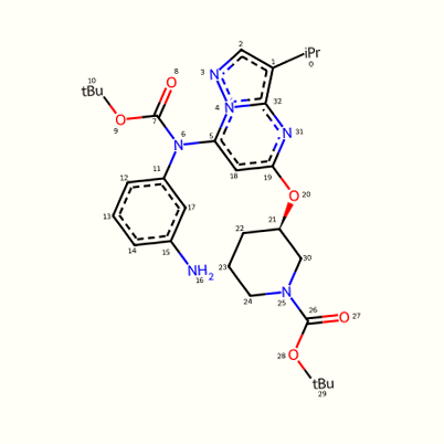 CC(C)c1cnn2c(N(C(=O)OC(C)(C)C)c3cccc(N)c3)cc(O[C@@H]3CCCN(C(=O)OC(C)(C)C)C3)nc12